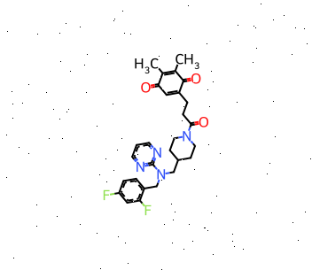 CC1=C(C)C(=O)C(CCC(=O)N2CCC(CN(Cc3ccc(F)cc3F)c3ncccn3)CC2)=CC1=O